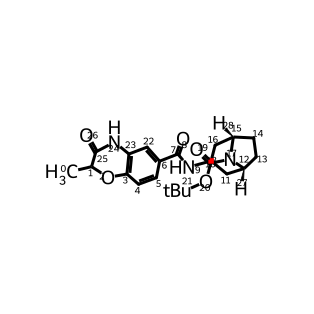 CC1Oc2ccc(C(=O)NC3C[C@H]4CC[C@@H](C3)N4C(=O)OC(C)(C)C)cc2NC1=O